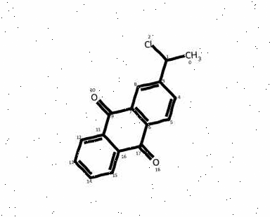 CC(Cl)c1ccc2c(c1)C(=O)c1ccccc1C2=O